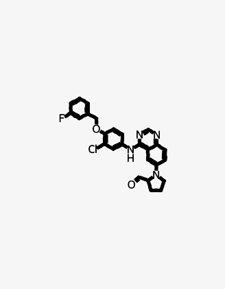 O=CC1CCCN1c1ccc2ncnc(Nc3ccc(OCc4cccc(F)c4)c(Cl)c3)c2c1